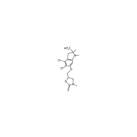 CN1CC(COc2cc3c(c(Cl)c2Cl)CC(C)(C(=O)O)N3C)OC1=O